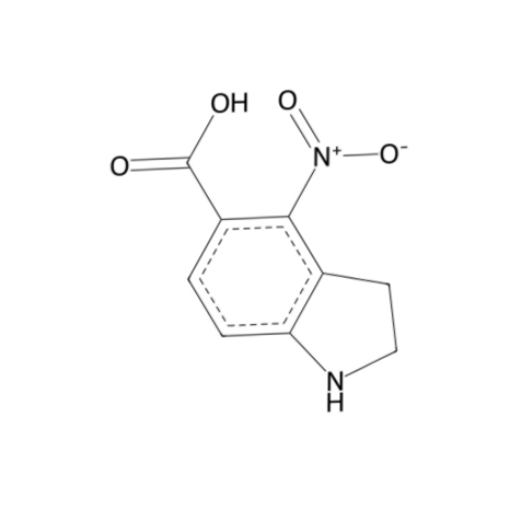 O=C(O)c1ccc2c(c1[N+](=O)[O-])CCN2